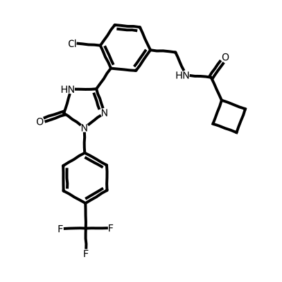 O=C(NCc1ccc(Cl)c(-c2nn(-c3ccc(C(F)(F)F)cc3)c(=O)[nH]2)c1)C1CCC1